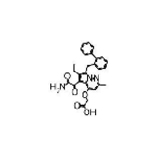 CCc1c(C(=O)C(N)=O)c2c(OCC(=O)O)cc(C)nn2c1Cc1ccccc1-c1ccccc1